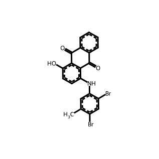 Cc1cc(Nc2ccc(O)c3c2C(=O)c2ccccc2C3=O)c(Br)cc1Br